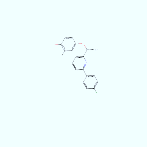 CCCCC(Oc1ccc(O)c(CC)c1)c1cccc(-c2ccc(Cl)cc2)n1